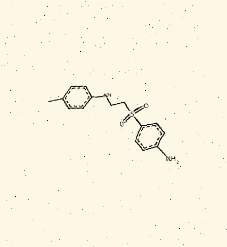 Cc1ccc(NCCS(=O)(=O)c2ccc(N)cc2)cc1